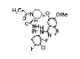 C=CC(=O)N1CC[C@H](Oc2cc3c(Nc4ccc(F)c(Cl)c4F)ncnc3cc2OC)C[C@H]1C(=O)NC(C)C